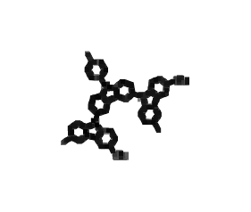 Cc1ccc(-n2c3ccc(-n4c5ccc(C)cc5c5cc(C(C)(C)C)ccc54)cc3c3cc(-n4c5ccc(C)cc5c5cc(C(C)(C)C)ccc54)ccc32)cc1